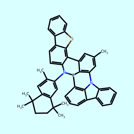 Cc1cc2c3c(c1)-n1c4ccccc4c4cccc(c41)B3N(c1cc3c(cc1C)C(C)(C)CCC3(C)C)c1ccc3c(sc4ccccc43)c1-2